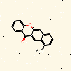 CC(=O)Oc1cccc2cc3oc4ccccc4c(=O)c3cc12